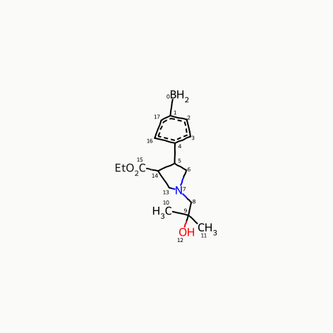 Bc1ccc(C2CN(CC(C)(C)O)CC2C(=O)OCC)cc1